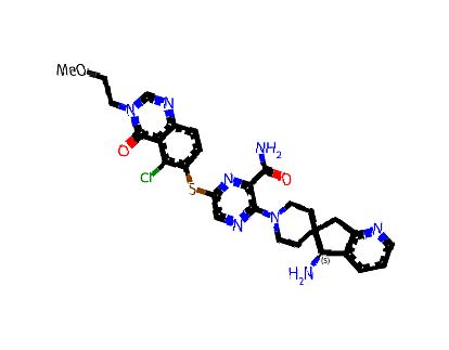 COCCn1cnc2ccc(Sc3cnc(N4CCC5(CC4)Cc4ncccc4[C@H]5N)c(C(N)=O)n3)c(Cl)c2c1=O